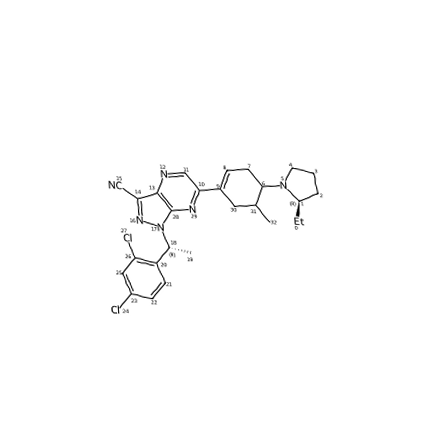 CC[C@@H]1CCCN1C1CC=C(c2cnc3c(C#N)nn([C@H](C)c4ccc(Cl)cc4Cl)c3n2)CC1C